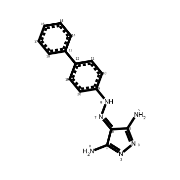 NC1=NN=C(N)C1=NNc1ccc(-c2ccccc2)cc1